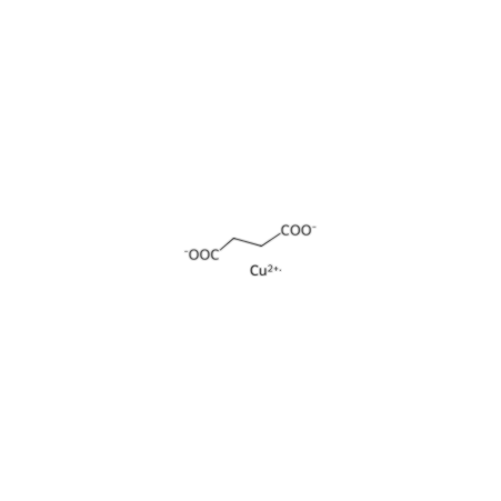 O=C([O-])CCC(=O)[O-].[Cu+2]